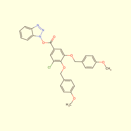 COc1ccc(COc2cc(C(=O)On3nnc4ccccc43)cc(Cl)c2OCc2ccc(OC)cc2)cc1